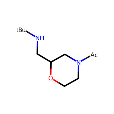 CC(=O)N1CCOC(CNC(C)(C)C)C1